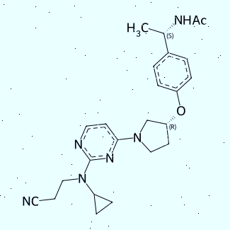 CC(=O)N[C@@H](C)c1ccc(O[C@@H]2CCN(c3ccnc(N(CCC#N)C4CC4)n3)C2)cc1